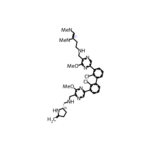 C=C1CC[C@@H](CNCc2ncc(-c3cccc(-c4cccc(-c5cnc(CNCC/C(=C/NC)NC)c(OC)n5)c4Cl)c3Cl)nc2OC)N1